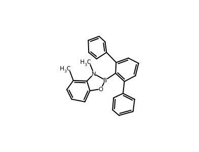 Cc1cccc2c1N(C)B(c1c(-c3ccccc3)cccc1-c1ccccc1)O2